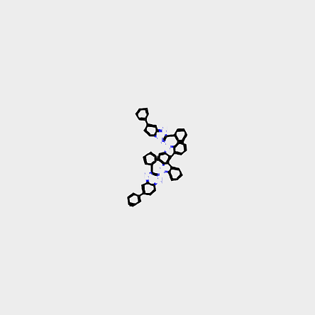 c1ccc(-c2ccc3nc(-n4c5ccccc5c5c6c7ccccc7n(-c7nc8ccc(-c9ccccc9)cc8nc7-c7ccccc7)c6ccc54)c(-c4ccccc4)nc3c2)cc#1